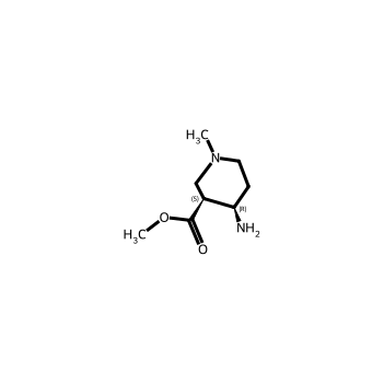 COC(=O)[C@H]1CN(C)CC[C@H]1N